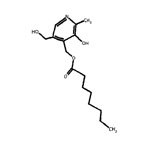 CCCCCCCC(=O)OCc1c(CO)cnc(C)c1O